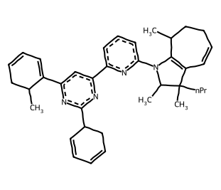 CCCC1(C)C2=C(C(C)CCC=C2)N(c2cccc(-c3cc(C4=CC=CCC4C)nc(C4C=CC=CC4)n3)n2)C1C